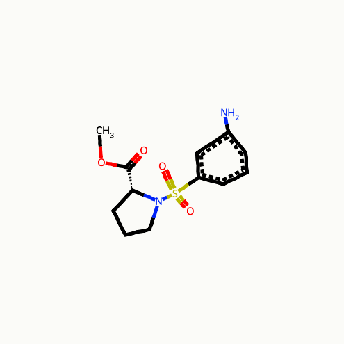 COC(=O)[C@H]1CCCN1S(=O)(=O)c1cccc(N)c1